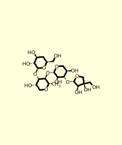 C[C@@H]1OC[C@H](O)[C@H](O[C@@H]2O[C@H](CO)C[C@H](O)[C@H]2O)[C@H]1O[C@@H]1OC[C@@H](O)[C@H](O[C@@H]2OC[C@](O)(CO)[C@H]2O)[C@H]1O